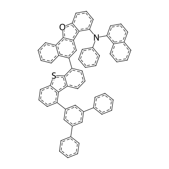 c1ccc(-c2cc(-c3ccccc3)cc(-c3cccc4sc5c(-c6cc7c(oc8cccc(N(c9ccccc9)c9cccc%10ccccc9%10)c87)c7ccccc67)cccc5c34)c2)cc1